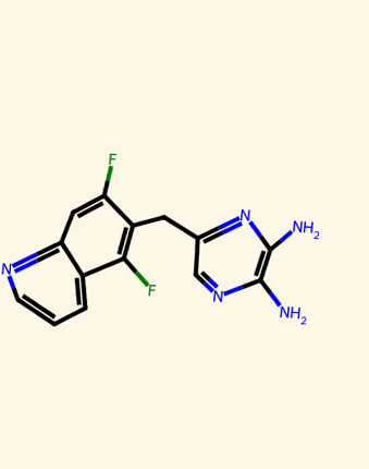 Nc1ncc(Cc2c(F)cc3ncccc3c2F)nc1N